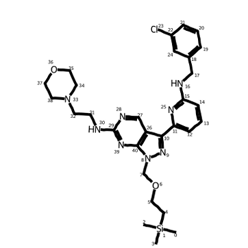 C[Si](C)(C)CCOCn1nc(-c2cccc(NCc3cccc(Cl)c3)n2)c2cnc(NCCN3CCOCC3)nc21